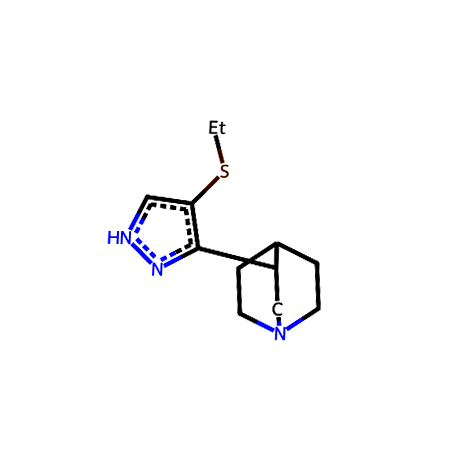 CCSc1c[nH]nc1C1CN2CCC1CC2